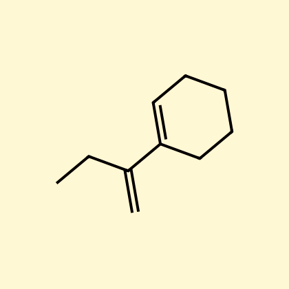 C=C(CC)C1=CCCCC1